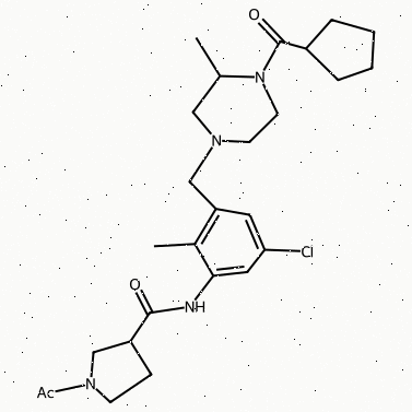 CC(=O)N1CCC(C(=O)Nc2cc(Cl)cc(CN3CCN(C(=O)C4CCCC4)C(C)C3)c2C)C1